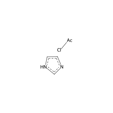 CC(=O)Cl.c1c[nH]cn1